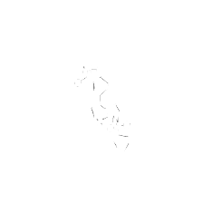 Cc1ccc(S(=O)(=O)n2ccc3c(-c4cccc(C(N)=O)c4)ccnc32)cc1